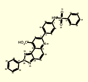 O=C(O)c1cc(-c2ccc(NS(=O)(=O)c3ccccc3)cc2)nc2ccc3nn(-c4ccccc4)nc3c12